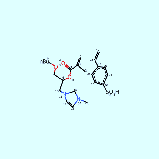 C=C(C)C(=O)OC(COCCCC)CN1C=CN(C)C1.C=Cc1ccc(S(=O)(=O)O)cc1